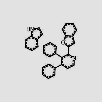 c1ccc(-c2ccnc(-c3cc4ccccc4o3)c2-c2ccccc2)cc1.c1ccc2[nH]ccc2c1